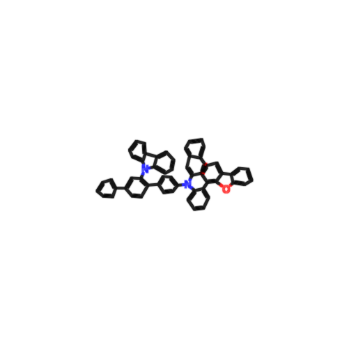 c1ccc(-c2ccc(-c3ccc(N(c4ccc5ccccc5c4)c4ccccc4-c4cccc5c4oc4ccccc45)cc3)c(-n3c4ccccc4c4ccccc43)c2)cc1